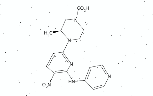 C[C@H]1CN(C(=O)O)CCN1c1ccc([N+](=O)[O-])c(Nc2ccncc2)n1